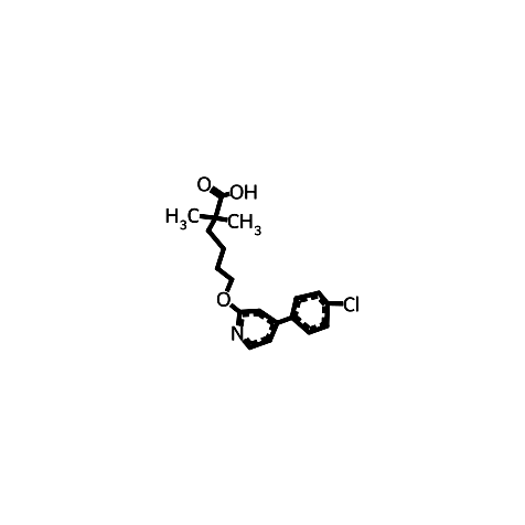 CC(C)(CCCCOc1cc(-c2ccc(Cl)cc2)ccn1)C(=O)O